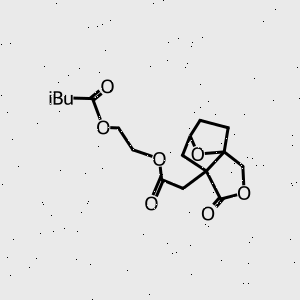 CCC(C)C(=O)OCCOC(=O)CC12CC3CCC1(COC2=O)O3